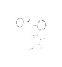 CC[C@@H]1C[C@]2(C)C(=O)CC[C@H]2[C@H]2CCc3cccc(OC(=O)c4ccccc4)c3[C@@H]12